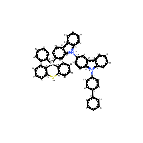 c1ccc(-c2ccc(-n3c4ccccc4c4cc(-n5c6ccccc6c6ccc([Si]7(c8ccccc8)c8ccccc8Sc8ccccc87)cc65)ccc43)cc2)cc1